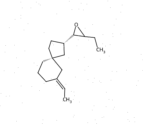 C/C=C1\CCC[C@@]2(CC[C@H](C3OC3CC)C2)C1